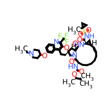 CCN1CCC(Oc2ccc3nc(C(F)(F)F)c4c(c3c2)CC[C@]2(C[C@H]3C(=O)N[C@]5(C(=O)NS(=O)(=O)C6(C)CC6)C[C@H]5/C=C\CCCCC[C@H](NC(=O)O[C@@H](C)C(C)C)C(=O)N3C2)O4)CC1